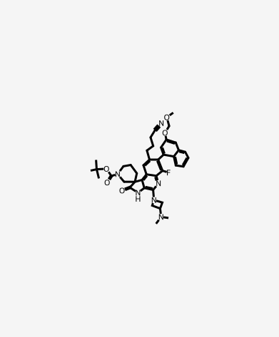 COCOc1cc(-c2c(CCCC#N)cc3c4c(c(N5CC(N(C)C)C5)nc3c2F)NC(=O)C42CCCN(C(=O)OC(C)(C)C)C2)c2ccccc2c1